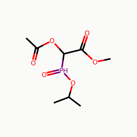 COC(=O)C(OC(C)=O)[PH](=O)OC(C)C